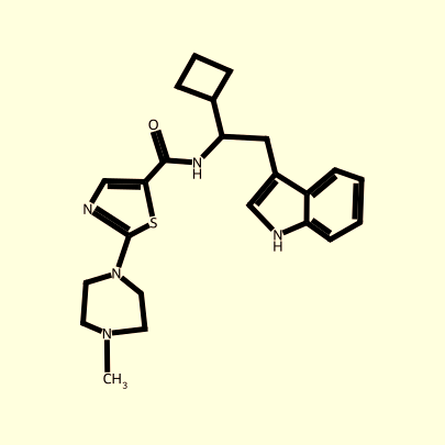 CN1CCN(c2ncc(C(=O)NC(Cc3c[nH]c4ccccc34)C3CCC3)s2)CC1